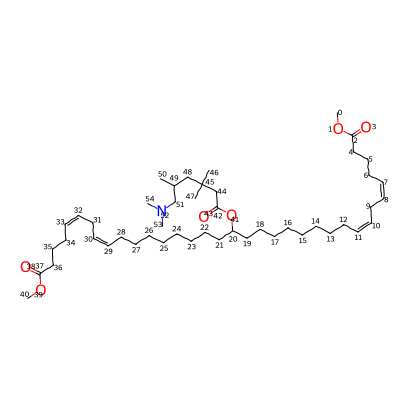 COC(=O)CCC/C=C\C/C=C\CCCCCCCCC(CCCCCCCC/C=C\C/C=C\CCCC(=O)OC)OC(=O)CC(C)(C)CC(C)CN(C)C